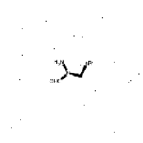 CCCCN(N)C=O